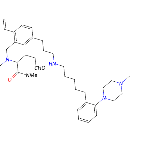 C=Cc1ccc(CCCNCCCCCc2ccccc2N2CCN(C)CC2)cc1CN(C)C(CCC=O)C(=O)NC